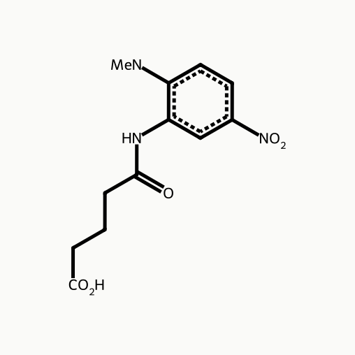 CNc1ccc([N+](=O)[O-])cc1NC(=O)CCCC(=O)O